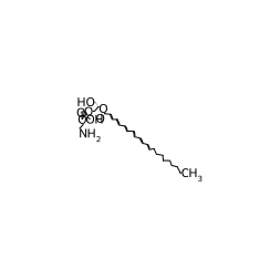 CCCCCCCCCC=CC=CC=CC=CC=CC=CC(=O)O[C@@H](CO)COP(=O)(O)OCCN